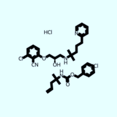 C=CCC(C)(C)NC(=O)OCc1ccccc1.CC(C)(CCCc1ccccn1)NC[C@@H](O)COc1cccc(Cl)c1C#N.Cl.Cl